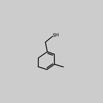 CC1=CCCC(CS)=C1